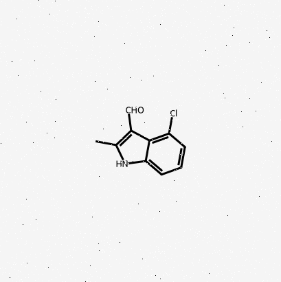 Cc1[nH]c2cccc(Cl)c2c1C=O